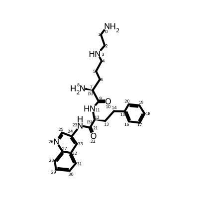 NCCNCCC[C@H](N)C(=O)N[C@@H](CCc1ccccc1)C(=O)Nc1cnc2ccccc2c1